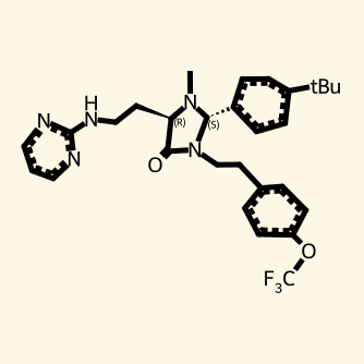 CN1[C@H](CCNc2ncccn2)C(=O)N(CCc2ccc(OC(F)(F)F)cc2)[C@H]1c1ccc(C(C)(C)C)cc1